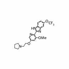 COc1cc(OCCN2CCCC2)cnc1-c1nc2cc(OC(F)(F)F)ccc2[nH]1